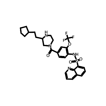 O=C(c1ccc(NS(=O)(=O)c2cccc3cccnc23)c(OC(F)(F)F)c1)N1CCNC(CCC2CCCC2)C1